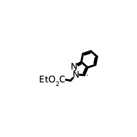 CCOC(=O)Cn1[c]c2ccccc2n1